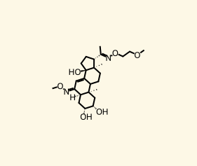 COCCON=C(C)[C@H]1CC[C@@]2(O)C3=C/C(=N\OC)[C@@H]4C[C@@H](O)[C@@H](O)C[C@]4(C)C3CC[C@]12C